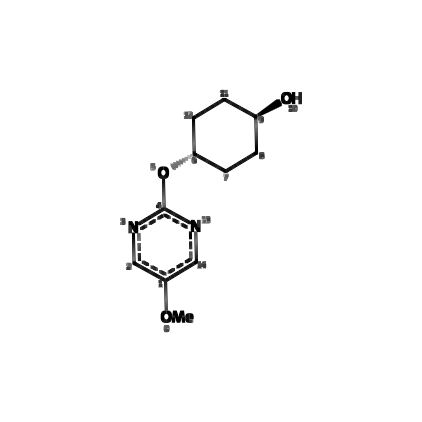 COc1cnc(O[C@H]2CC[C@H](O)CC2)nc1